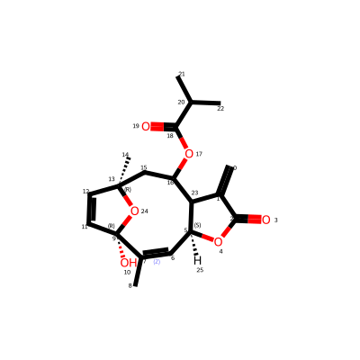 C=C1C(=O)O[C@H]2/C=C(/C)[C@@]3(O)C=C[C@@](C)(CC(OC(=O)C(C)C)C12)O3